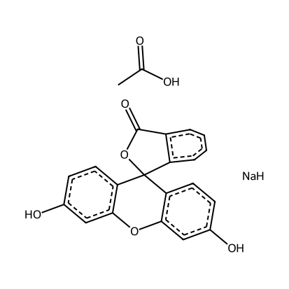 CC(=O)O.O=C1OC2(c3ccc(O)cc3Oc3cc(O)ccc32)c2ccccc21.[NaH]